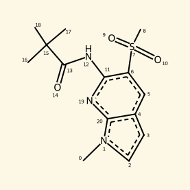 Cn1ccc2cc(S(C)(=O)=O)c(NC(=O)C(C)(C)C)nc21